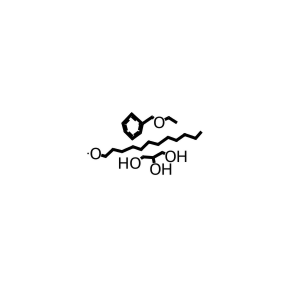 CCCCCCCCCCCC[O].CCOCc1ccccc1.OCC(O)CO